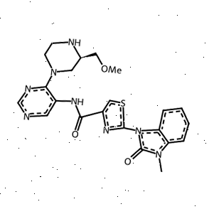 COC[C@H]1CN(c2ncncc2NC(=O)c2csc(-n3c(=O)n(C)c4ccccc43)n2)CCN1